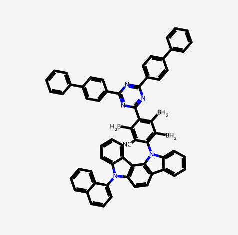 Bc1c(B)c(-n2c3ccccc3c3ccc4c(c5ccccc5n4-c4cccc5ccccc45)c32)c(C#N)c(B)c1-c1nc(-c2ccc(-c3ccccc3)cc2)nc(-c2ccc(-c3ccccc3)cc2)n1